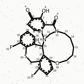 O=C1c2c(O)c(=O)ccn2N2CN1CCCCCOc1ccc(F)c3c1[C@H]2c1cccc(F)c1SC3